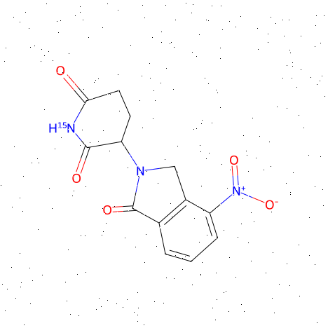 O=C1CCC(N2Cc3c(cccc3[N+](=O)[O-])C2=O)C(=O)[15NH]1